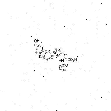 CC(C)(CO)Cc1c(I)[nH]c2ccc(-c3csc(C[C@H](NC(=O)OC(C)(C)C)C(=O)O)n3)cc12